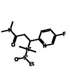 CC[S+]([O-])[N+](C)(C)C(CC(=O)N(C)C)c1ccc(F)cn1